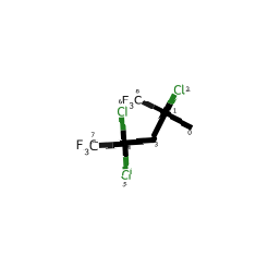 CC(Cl)(CC(Cl)(Cl)C(F)(F)F)C(F)(F)F